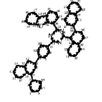 c1ccc(-c2cc(-c3ccc(-c4nc(-c5c(-c6ccc7ccccc7c6)ccc6ccccc56)nc(-c5cccc6c5oc5ccccc56)n4)cc3)cc3ccccc23)cc1